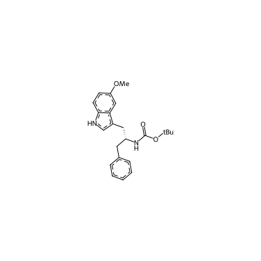 COc1ccc2[nH]cc(C[C@@H](Cc3ccccc3)NC(=O)OC(C)(C)C)c2c1